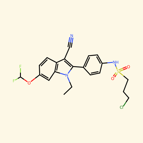 CCn1c(-c2ccc(NS(=O)(=O)CCCCl)cc2)c(C#N)c2ccc(OC(F)F)cc21